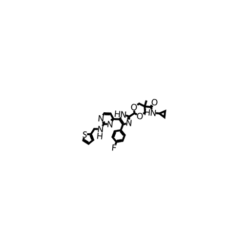 CC1(C(=O)NC2CC2)COC(c2nc(-c3ccc(F)cc3)c(-c3ccnc(NCc4cccs4)n3)[nH]2)OC1